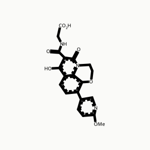 COc1ccc(-c2ccc3c(O)c(C(=O)NCC(=O)O)c(=O)n4c3c2OCC4)cn1